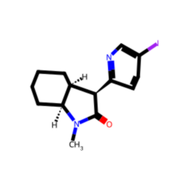 CN1C(=O)[C@H](c2ccc(I)cn2)[C@@H]2CCCC[C@@H]21